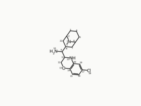 CN1C2CCCC1CC(C(N)C1COc3ccc(Cl)cc3N1)C2